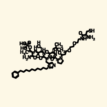 CC(C)C[C@H](NC(=O)[C@@H]1CCCN1C(=O)CCOCCOCCNC(=O)[C@@H](N)CS)C(=O)N[C@@H](Cc1cncn1CCCCCCCCCCc1ccccc1)C(=O)N[C@@H](CO)C(=O)N[C@H](C(N)=O)[C@@H](C)OP(=O)(O)O